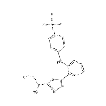 OC(CCl)c1nnc(-c2ccccc2Nc2ccc(C(F)(F)F)cc2)o1